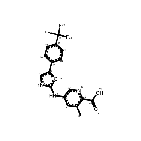 Cc1cc(Nc2ncc(-c3ccc(C(F)(F)F)cc3)o2)cnc1C(=O)O